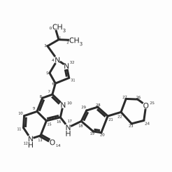 CC(C)CN1CC(c2cc3cc[nH]c(=O)c3c(Nc3ccc(C4CCOCC4)cc3)n2)C=N1